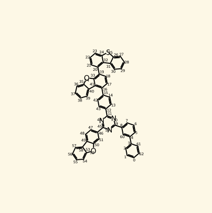 c1ccc(-c2cccc(-c3nc(-c4ccc(-c5ccc(-c6cccc7sc8ccccc8c67)c6oc7ccccc7c56)cc4)nc(-c4ccc5c(c4)oc4ccccc45)n3)c2)cc1